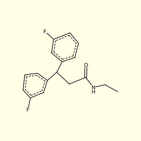 CCNC(=O)CC(c1cccc(F)c1)c1cccc(F)c1